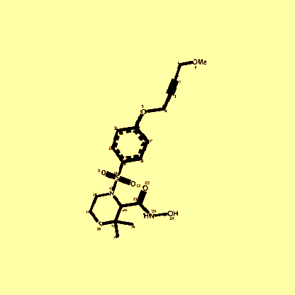 COCC#CCOc1ccc(S(=O)(=O)N2CCSC(C)(C)C2C(=O)NO)cc1